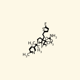 Cc1ccc(C(C)(C)N2CCC(CCc3ccc(F)s3)(C(C)(OC(N)=O)C(F)(F)F)C2)cn1